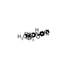 CC(C)(C)OC(=O)N1CCC(NC(=O)c2ccc(-n3cccn3)cc2)CC1